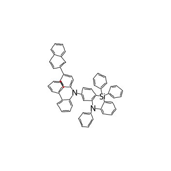 c1ccc(-c2ccccc2N(c2ccc(-c3ccc4ccccc4c3)cc2)c2ccc3c(c2)N(c2ccccc2)c2ccccc2[Si]3(c2ccccc2)c2ccccc2)cc1